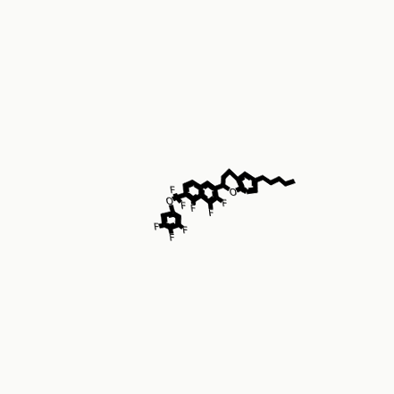 CCCCCc1ccc2c(c1)CCC(c1cc3ccc(C(F)(F)Oc4cc(F)c(F)c(F)c4)c(F)c3c(F)c1F)O2